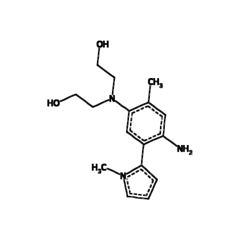 Cc1cc(N)c(-c2cccn2C)cc1N(CCO)CCO